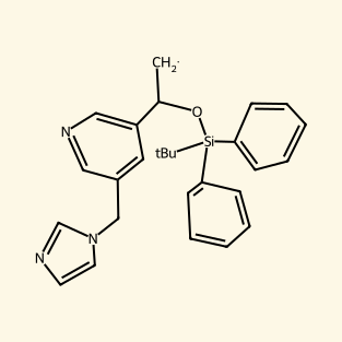 [CH2]C(O[Si](c1ccccc1)(c1ccccc1)C(C)(C)C)c1cncc(Cn2ccnc2)c1